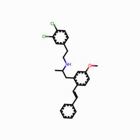 COc1ccc(C=Cc2ccccc2)c(CC(C)NCCc2ccc(Cl)c(Cl)c2)c1